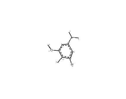 COc1cc(C(C)C)cc(Br)c1C